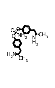 C[C@@H](N)Cc1ccc(OP(N)(=O)Oc2ccc(C[C@@H](C)N)cc2)cc1